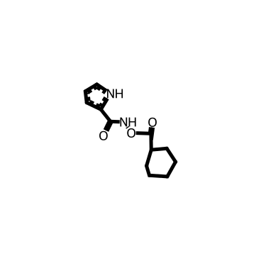 O=C(NOC(=O)C1CCCCC1)c1ccc[nH]1